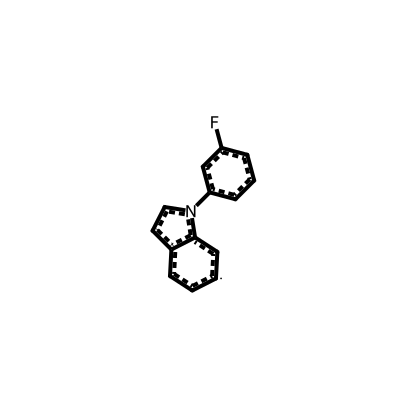 Fc1cccc(-n2ccc3cc[c]cc32)c1